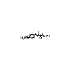 CNCC(=O)NCCN1CCN(CCP)CC1